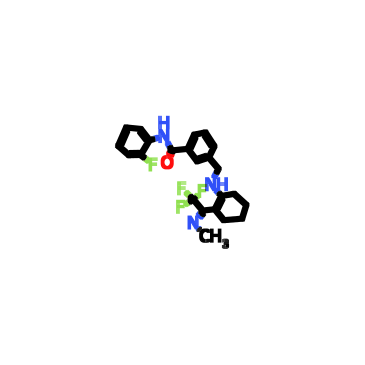 C/N=C(\C1=C(NCc2cccc(C(=O)Nc3ccccc3F)c2)CCCC1)C(F)(F)F